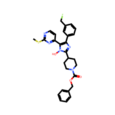 CSc1nccc(-c2c(-c3cccc(CF)c3)nc(C3CCN(C(=O)OCc4ccccc4)CC3)n2O)n1